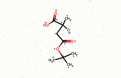 CC(C)(C)OC(=O)CC(C)(Cl)C(=O)O